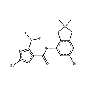 CCn1cc(C(=O)Nc2cc(Br)cc3c2OC(C)(C)C3)c(C(F)F)n1